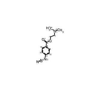 CN(C)CCOC(=O)c1ccc(N=[N+]=[N-])cc1